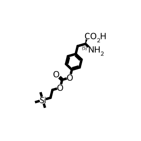 C[Si](C)(C)CCOC(=O)Oc1ccc(C[C@H](N)C(=O)O)cc1